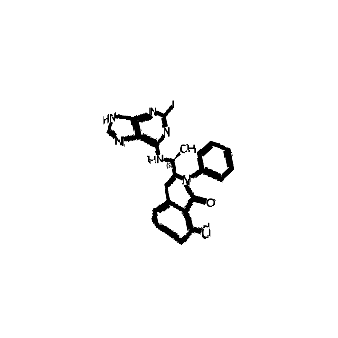 C[C@H](Nc1nc(I)nc2[nH]cnc12)c1cc2cccc(Cl)c2c(=O)n1-c1ccccc1